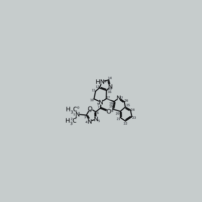 CN(C)c1nnc(C(=O)N2CCc3[nH]cnc3[C@H]2c2cc3ccccc3cn2)o1